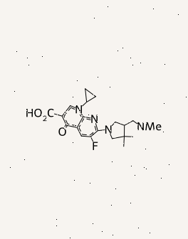 CNCC1CN(c2nc3c(cc2F)c(=O)c(C(=O)O)cn3C2CC2)CC1(C)C